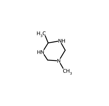 CC1NCN(C)CN1